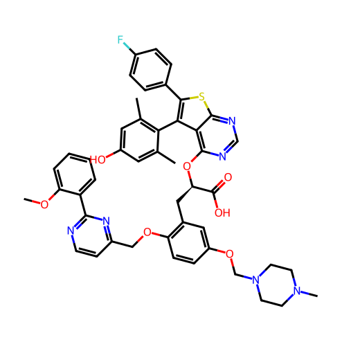 COc1ccccc1-c1nccc(COc2ccc(OCN3CCN(C)CC3)cc2C[C@@H](Oc2ncnc3sc(-c4ccc(F)cc4)c(-c4c(C)cc(O)cc4C)c23)C(=O)O)n1